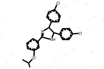 CC(C)Oc1cccc(C2=NC(c3ccc(Cl)cc3)C(c3ccc(Cl)cc3)N2)c1